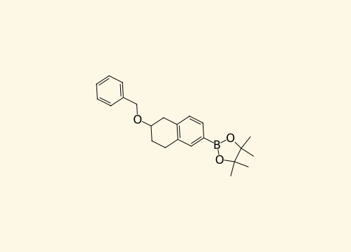 CC1(C)OB(c2ccc3c(c2)CCC(OCc2ccccc2)C3)OC1(C)C